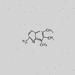 Cc1ccc2cc(C)c(C)c(C)c2n1